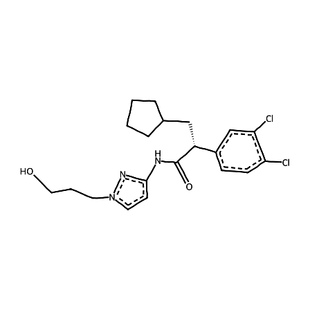 O=C(Nc1ccn(CCCO)n1)[C@H](CC1CCCC1)c1ccc(Cl)c(Cl)c1